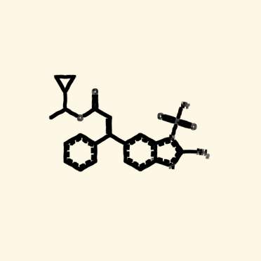 CC(OC(=O)C=C(c1ccccc1)c1ccc2nc(N)n(S(=O)(=O)C(C)C)c2c1)C1CC1